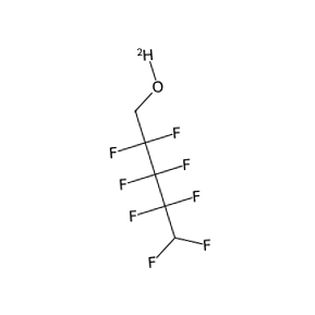 [2H]OCC(F)(F)C(F)(F)C(F)(F)C(F)F